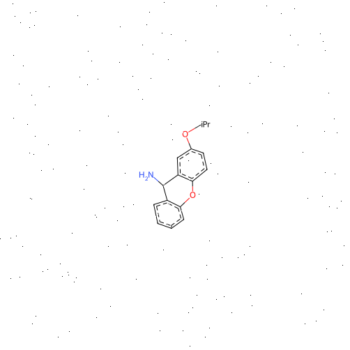 CC(C)Oc1ccc2c(c1)C(N)c1ccccc1O2